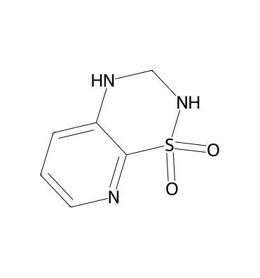 O=S1(=O)NCNc2cccnc21